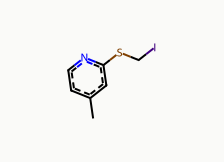 Cc1ccnc(SCI)c1